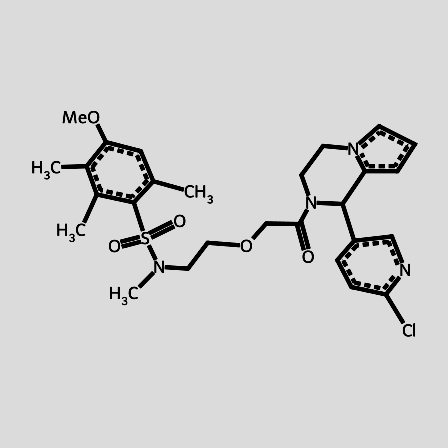 COc1cc(C)c(S(=O)(=O)N(C)CCOCC(=O)N2CCn3cccc3C2c2ccc(Cl)nc2)c(C)c1C